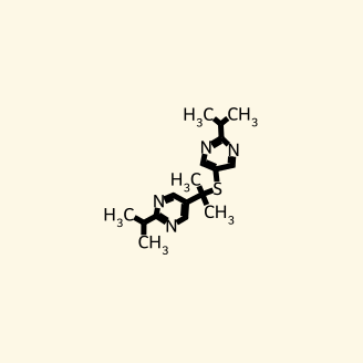 CC(C)c1ncc(SC(C)(C)c2cnc(C(C)C)nc2)cn1